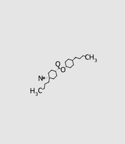 CCCC[C@H]1CC[C@H](OC(=O)[C@H]2CC[C@](C#N)(CCCC)CC2)CC1